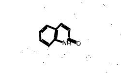 O=c1ccc2ccc[c]c2[nH]1